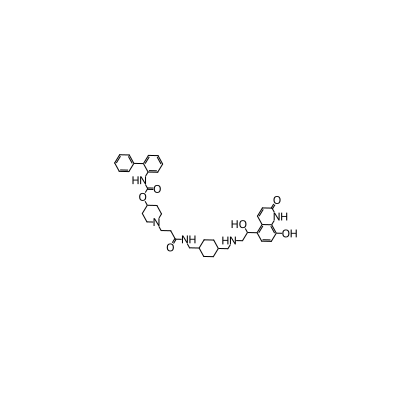 O=C(CCN1CCC(OC(=O)Nc2ccccc2-c2ccccc2)CC1)NCC1CCC(CNCC(O)c2ccc(O)c3[nH]c(=O)ccc23)CC1